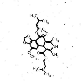 COC(=O)C1=C(C)NC(C)=C(C(=O)OCCN(C)C)C1c1cc(OC)c2c(c1C(=O)OC=CC(C)C)OCO2